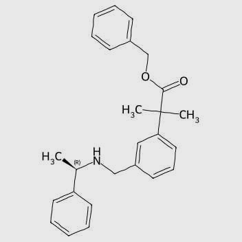 C[C@@H](NCc1cccc(C(C)(C)C(=O)OCc2ccccc2)c1)c1ccccc1